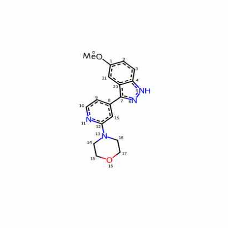 COc1ccc2[nH]nc(-c3ccnc(N4CCOCC4)c3)c2c1